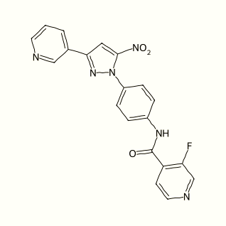 O=C(Nc1ccc(-n2nc(-c3cccnc3)cc2[N+](=O)[O-])cc1)c1ccncc1F